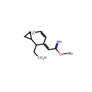 C/C=C\C(=C/C(=N)OCCCC)C(CC(=O)O)C1CC1